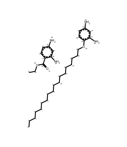 CCCCCCCCCCCCCCCCCCOc1ccc(N)cc1N.CCOC(=O)c1ccc(N)cc1N